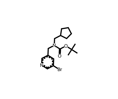 CC(C)(C)OC(=O)N(Cc1cncc(Br)c1)CC1CCCC1